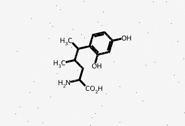 CC(CC(N)C(=O)O)C(C)c1ccc(O)cc1O